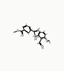 COC(=O)c1cccc(-c2nc3ccc(OC)c(C=O)c3[nH]2)c1